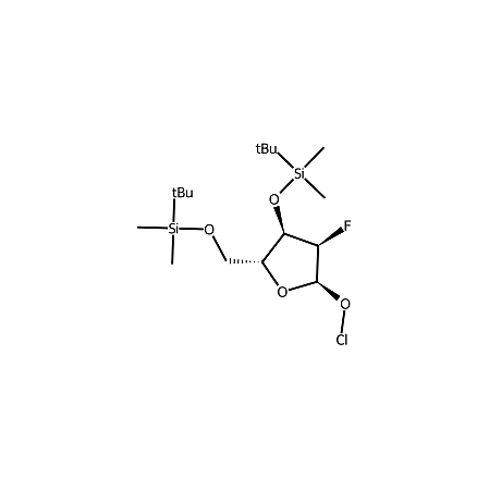 CC(C)(C)[Si](C)(C)OC[C@H]1O[C@H](OCl)[C@H](F)[C@@H]1O[Si](C)(C)C(C)(C)C